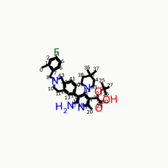 Cc1cc(F)ccc1CN1CCc2cc(-c3c(N)nc(C)c(C(OC(C)(C)C)C(=O)O)c3N3CCC(C)(C)CC3)ccc2C1